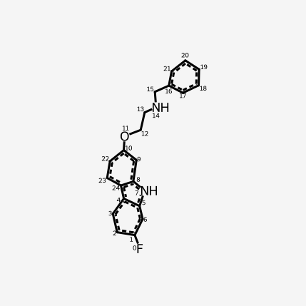 Fc1ccc2c(c1)[nH]c1cc(OCCNCc3ccccc3)ccc12